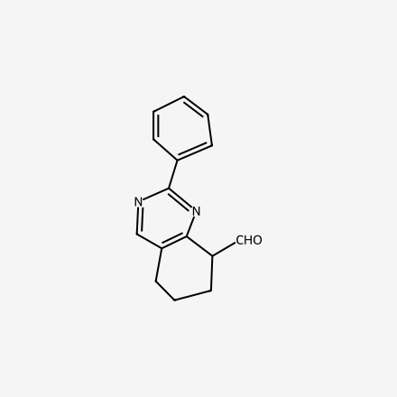 O=CC1CCCc2cnc(-c3ccccc3)nc21